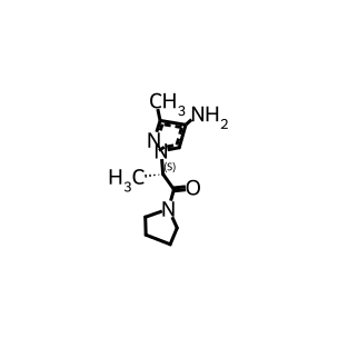 Cc1nn([C@@H](C)C(=O)N2CCCC2)cc1N